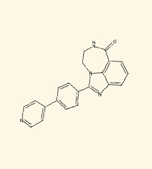 O=C1NCCn2c(-c3ccc(-c4ccncc4)cc3)nc3cccc1c32